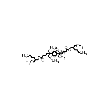 CCCCC(CC)COC(=O)CCCC(C)(C)c1cc(OC)c(C(C)(C)CCCC(=O)OCC(CC)CCCC)cc1OC